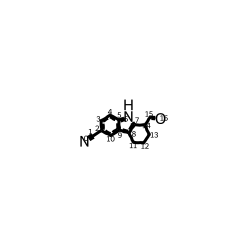 N#Cc1ccc2[nH]c3c(c2c1)CCCC3C=O